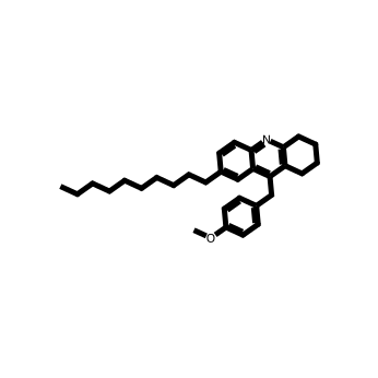 CCCCCCCCCCc1ccc2nc3c(c(Cc4ccc(OC)cc4)c2c1)CCCC3